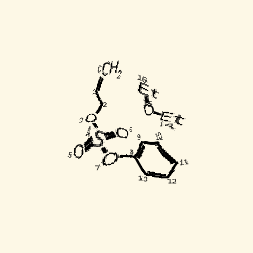 C=CCOS(=O)(=O)Oc1ccccc1.CCOCC